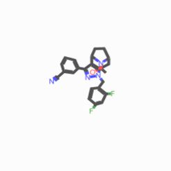 CC(=O)N1C2CCC1c1c(-c3cccc(C#N)c3)nn(Cc3ccc(F)cc3F)c1C2